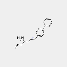 C=CCC(N)C/C=C/c1ccc(C2C=CC=CC2)cc1